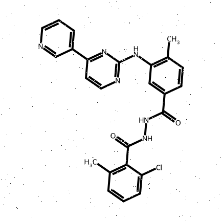 Cc1ccc(C(=O)NNC(=O)c2c(C)cccc2Cl)cc1Nc1nccc(-c2cccnc2)n1